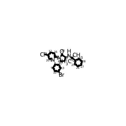 CC(C)(N[C@@H]1C[C@H](c2cccc(Br)c2)N(c2ccc(Cl)cn2)C1=O)c1ccccc1